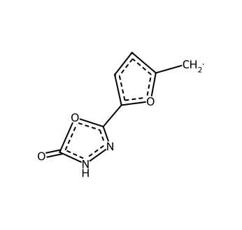 [CH2]c1ccc(-c2n[nH]c(=O)o2)o1